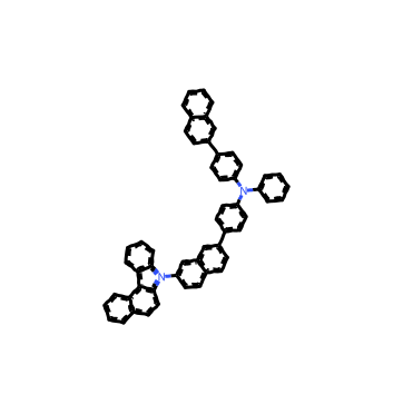 c1ccc(N(c2ccc(-c3ccc4ccccc4c3)cc2)c2ccc(-c3ccc4ccc(-n5c6ccccc6c6c7ccccc7ccc65)cc4c3)cc2)cc1